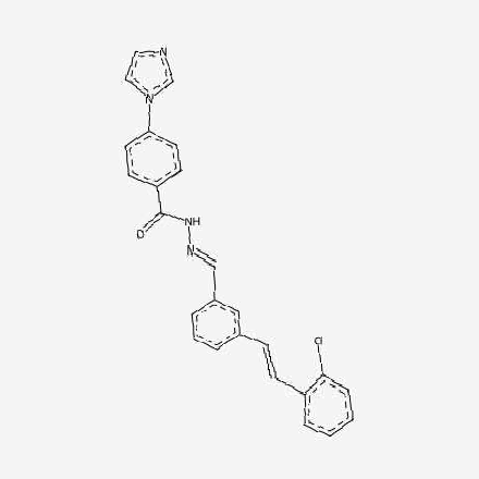 O=C(N/N=C/c1cccc(/C=C/c2ccccc2Cl)c1)c1ccc(-n2ccnc2)cc1